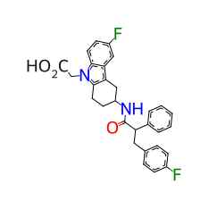 O=C(O)Cn1c2c(c3cc(F)ccc31)CC(NC(=O)C(Cc1ccc(F)cc1)c1ccccc1)CC2